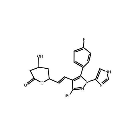 CC(C)c1nn(-c2c[nH]cn2)c(-c2ccc(F)cc2)c1/C=C/C1CC(O)CC(=O)O1